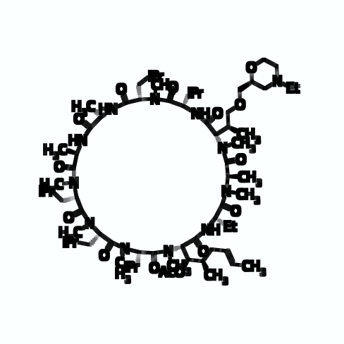 C/C=C/C[C@@H](C)[C@@H](OC(C)=O)[C@H]1C(=O)N[C@@H](CC)C(=O)N(C)[C@H](C)C(=O)N(C)[C@@H]([C@H](C)COC[C@@H]2CN(CC)CCO2)C(=O)N[C@@H](C(C)C)C(=O)N(C)[C@@H](CC(C)C)C(=O)N[C@@H](C)C(=O)N[C@H](C)C(=O)N(C)[C@@H](CC(C)C)C(=O)N(C)[C@@H](CC(C)C)C(=O)N(C)[C@@H](C(C)C)C(=O)N1C